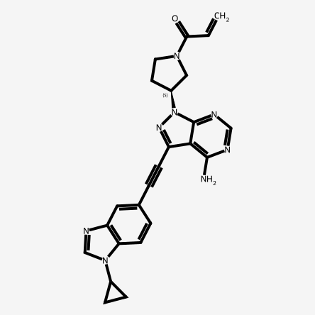 C=CC(=O)N1CC[C@H](n2nc(C#Cc3ccc4c(c3)ncn4C3CC3)c3c(N)ncnc32)C1